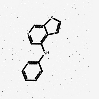 c1ccc(Nc2cncc3sccc23)cc1